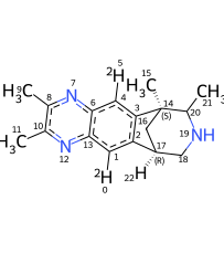 [2H]c1c2c(c([2H])c3nc(C)c(C)nc13)[C@]1(C)C[C@H]2CNC1C